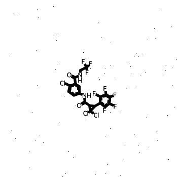 O=C(NCC(F)(F)F)c1cc(NC(=O)C2C(c3c(F)c(F)c(F)c(F)c3F)C2(Cl)Cl)ccc1Cl